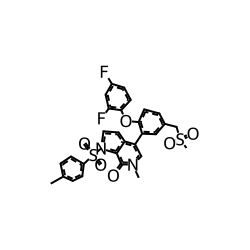 Cc1ccc(S(=O)(=O)n2ccc3c(-c4cc(CS(C)(=O)=O)ccc4Oc4ccc(F)cc4F)cn(C)c(=O)c32)cc1